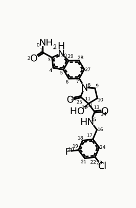 NC(=O)c1cc2cc(N3CC[C@](O)(C(=O)NCc4cc(F)cc(Cl)c4)C3=O)ccc2[nH]1